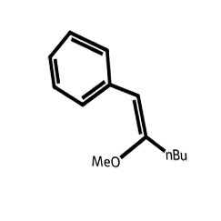 CCCCC(=Cc1ccccc1)OC